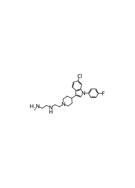 NCCNCCN1CCC(c2cn(-c3ccc(F)cc3)c3cc(Cl)ccc23)CC1